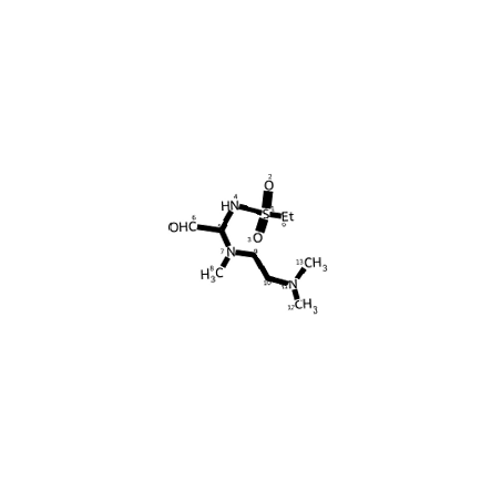 CCS(=O)(=O)NC(C=O)N(C)CCN(C)C